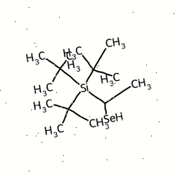 CC([SeH])[Si](C(C)(C)C)(C(C)(C)C)C(C)(C)C